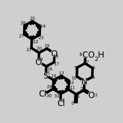 C=C(C(=O)N1CCC(C(=O)O)CC1)c1ccc(SC2COCC(Cc3ccccc3)O2)c(Cl)c1Cl